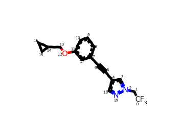 FC(F)(F)Cn1cc(C#Cc2cccc(OCC3CC3)c2)cn1